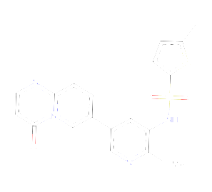 COc1ncc(-c2ccc3nccc(=O)n3c2)cc1NS(=O)(=O)c1ccc(C)s1